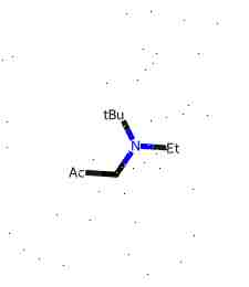 CCN(CC(C)=O)C(C)(C)C